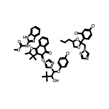 CC(C)(C)C(O)C(Oc1ccc(Cl)cc1)n1cncn1.CC1OC2=C(C(=O)C(=O)c3ccccc32)C1(C)C.CCCC1COC(Cn2cncn2)(c2ccc(Cl)cc2Cl)O1.COC(=O)Nc1nc2ccccc2[nH]1